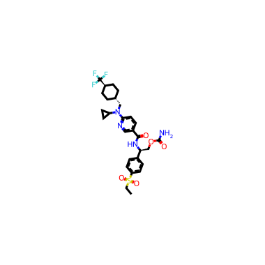 CCS(=O)(=O)c1ccc([C@H](COC(N)=O)NC(=O)c2ccc(N(C[C@H]3CC[C@H](C(F)(F)F)CC3)C3CC3)nc2)cc1